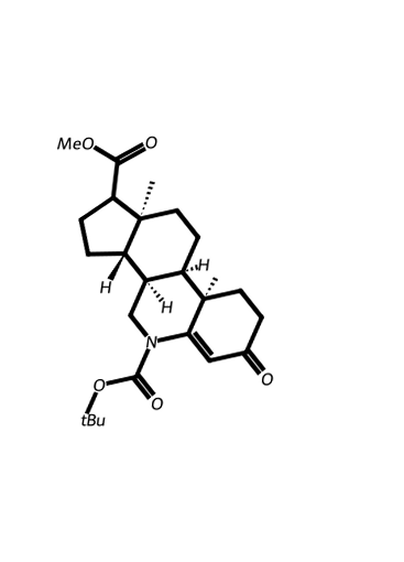 COC(=O)C1CC[C@H]2[C@@H]3CN(C(=O)OC(C)(C)C)C4=CC(=O)CC[C@]4(C)[C@@H]3CC[C@]12C